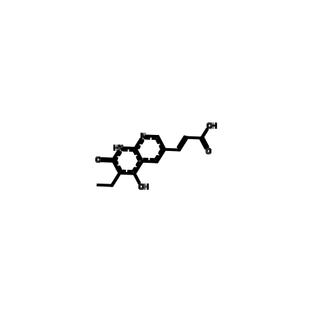 CCc1c(O)c2cc(/C=C/C(=O)O)cnc2[nH]c1=O